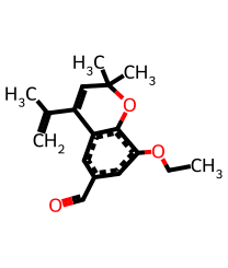 C=C(C)C1=CC(C)(C)Oc2c(OCC)cc(C=O)cc21